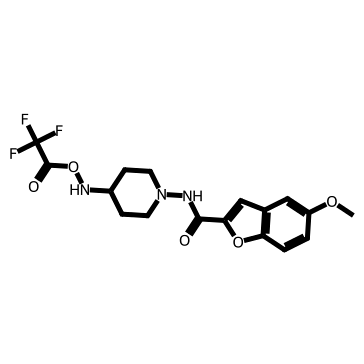 COc1ccc2oc(C(=O)NN3CCC(NOC(=O)C(F)(F)F)CC3)cc2c1